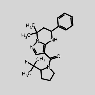 CC(C)(F)C1CCCN1C(=O)c1cnn2c1NC(c1ccccc1)CC2(C)C